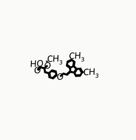 CCOC(Cc1ccc(OCC=C2c3ccc(C)cc3-c3cc(C)ccc32)cc1)C(=O)O